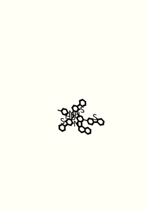 Cc1ccc(Nc2ccc3c(sc4ccccc43)c2-c2cc(-c3ccc4c(c3)sc3ccccc34)c3c4c5ccccc5ccc4n4c3c2Bc2cc3sc5ccccc5c3cc2-4)cc1